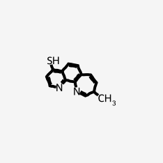 CC1C=Cc2ccc3c(S)ccnc3c2N=C1